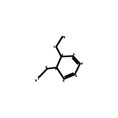 CCC1C=CC=CC1CI